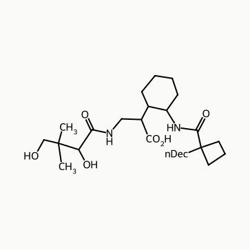 CCCCCCCCCCC1(C(=O)NC2CCCCC2C(CNC(=O)C(O)C(C)(C)CO)C(=O)O)CCC1